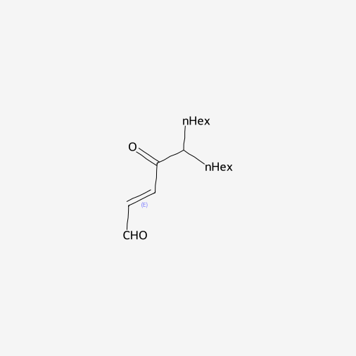 CCCCCCC(CCCCCC)C(=O)/C=C/C=O